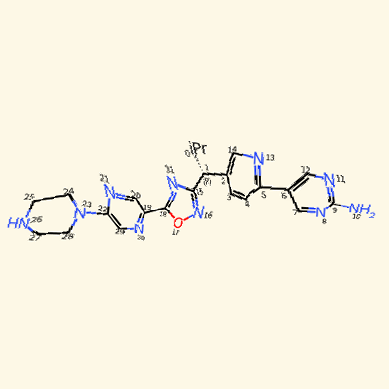 CC(C)[C@H](c1ccc(-c2cnc(N)nc2)nc1)c1noc(-c2cnc(N3CCNCC3)cn2)n1